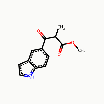 COC(=O)C(C)C(=O)c1ccc2[nH]ccc2c1